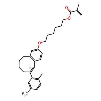 C=C(C)C(=O)OCCCCCCOc1ccc2c(c1)CCCC/C(c1cc(C(F)(F)F)ccc1C)=C\2